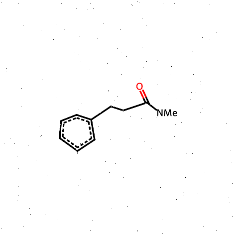 CNC(=O)CCc1c[c]ccc1